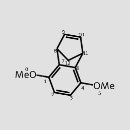 COc1ccc(OC)c2c1C1C=CC2C1